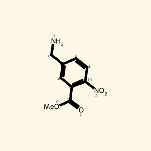 COC(=O)c1cc(CN)ccc1[N+](=O)[O-]